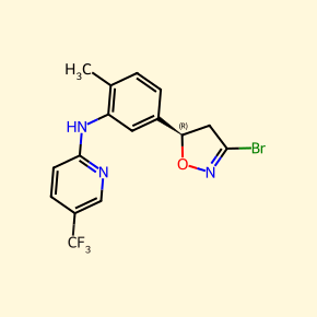 Cc1ccc([C@H]2CC(Br)=NO2)cc1Nc1ccc(C(F)(F)F)cn1